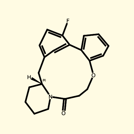 O=C1CCOc2ccccc2-c2cc(ccc2F)C[C@H]2CCCCN12